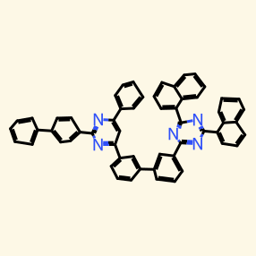 c1ccc(-c2ccc(-c3nc(-c4ccccc4)cc(-c4cccc(-c5cccc(-c6nc(-c7cccc8ccccc78)nc(-c7cccc8ccccc78)n6)c5)c4)n3)cc2)cc1